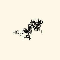 CC(=O)O[C@H](C[C@H](C(C)C)N(C)C(=O)[C@H](CC1CC1)NC(=O)[C@H]1CCCCN1C)c1nc(C(=O)N[C@@H](Cc2cc(F)cc(F)c2)C[C@H](C)C(=O)O)cs1